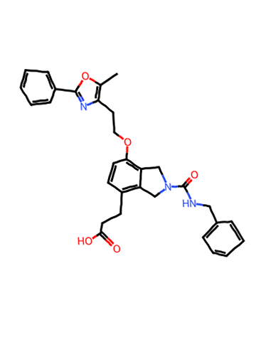 Cc1oc(-c2ccccc2)nc1CCOc1ccc(CCC(=O)O)c2c1CN(C(=O)NCc1ccccc1)C2